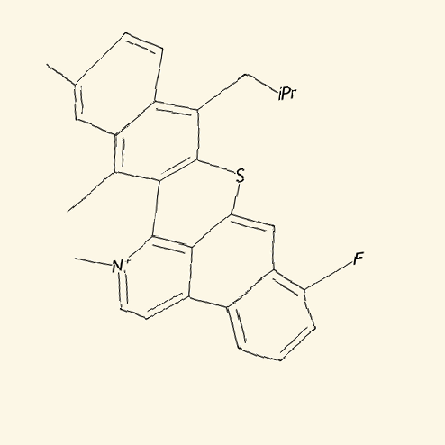 Cc1ccc2c(CC(C)C)c3c(c(C)c2c1)-c1c2c(cc4c(F)cccc4c2cc[n+]1C)S3